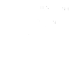 NC(N)=NC(=O)c1ccc2cccc(-c3c(F)cccc3F)c2c1